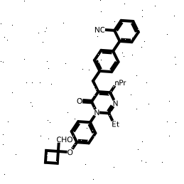 CCCc1nc(CC)n(-c2ccc(OC3(C=O)CCC3)cc2)c(=O)c1Cc1ccc(-c2ccccc2C#N)cc1